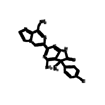 CC1(c2ccc(Cl)cc2)C(=O)Nc2nc(-c3cn4ccnc4c(N)n3)nc(N)c21